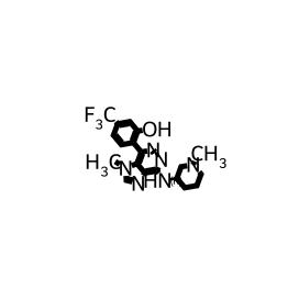 CN1CCC[C@@H](Nc2nnc(-c3ccc(C(F)(F)F)cc3O)c3c2ncn3C)C1